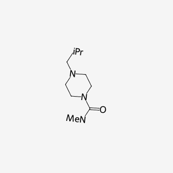 CNC(=O)N1CCN(CC(C)C)CC1